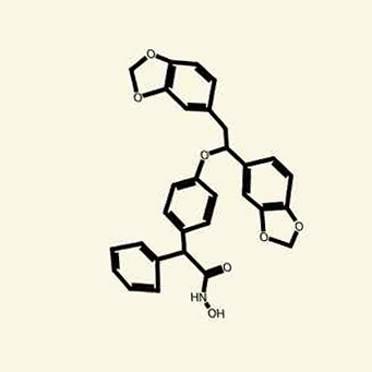 O=C(NO)C(c1ccccc1)c1ccc(OC(Cc2ccc3c(c2)OCO3)c2ccc3c(c2)OCO3)cc1